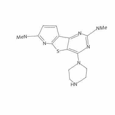 CNc1ccc2c(n1)sc1c(N3CCNCC3)nc(NC)nc12